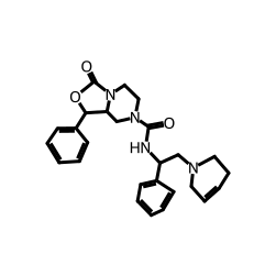 O=C(NC(CN1CC=CCC1)c1ccccc1)N1CCN2C(=O)OC(c3ccccc3)C2C1